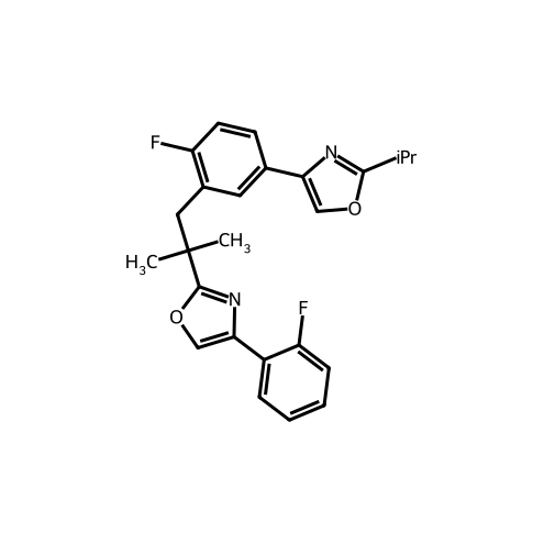 CC(C)c1nc(-c2ccc(F)c(CC(C)(C)c3nc(-c4ccccc4F)co3)c2)co1